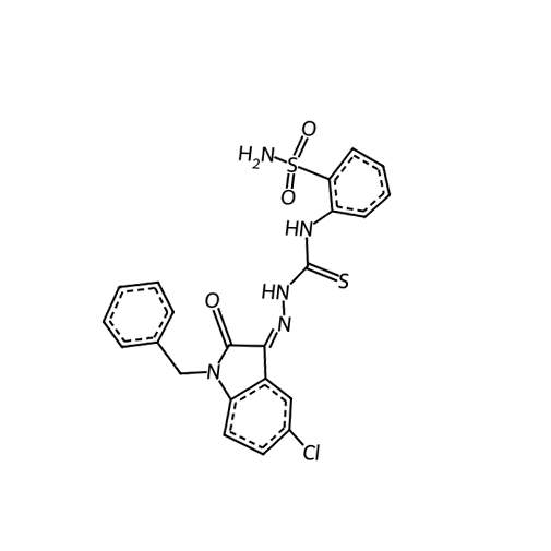 NS(=O)(=O)c1ccccc1NC(=S)NN=C1C(=O)N(Cc2ccccc2)c2ccc(Cl)cc21